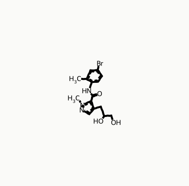 Cc1cc(Br)ccc1NC(=O)c1c(CC(O)CO)cnn1C